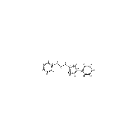 c1ccc(CCCc2nc(-c3ccccc3)co2)cc1